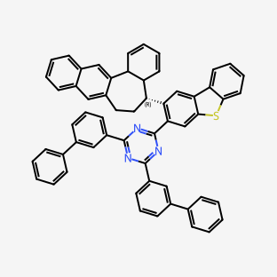 C1=CC2c3cc4ccccc4cc3CC[C@@H](c3cc4c(cc3-c3nc(-c5cccc(-c6ccccc6)c5)nc(-c5cccc(-c6ccccc6)c5)n3)sc3ccccc34)C2C=C1